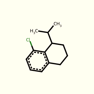 CC(C)C1CCCc2cccc(Cl)c21